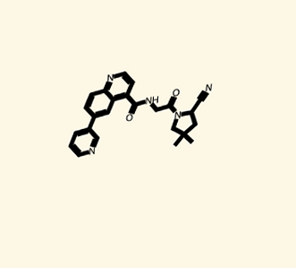 CC1(C)CC(C#N)N(C(=O)CNC(=O)c2ccnc3ccc(-c4cccnc4)cc23)C1